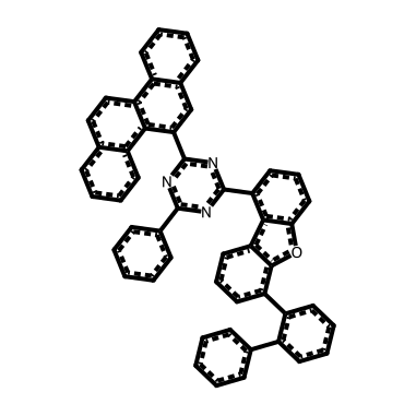 c1ccc(-c2nc(-c3cccc4oc5c(-c6ccccc6-c6ccccc6)cccc5c34)nc(-c3cc4ccccc4c4ccc5ccccc5c34)n2)cc1